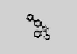 c1ccc(-c2ccc(-c3nnc(-c4ccco4)n3-c3ccccc3)cc2)cc1